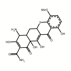 COc1ccc(O)c2c1SC1CC3C(N)C(O)=C(C(N)=O)C(=O)C3(O)C(O)=C1C2=O